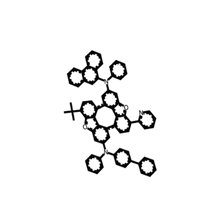 CC(C)(C)c1ccc2c3cc(N(c4ccccc4)c4cc5ccccc5c5ccccc45)cc4oc5c(-c6ccccn6)ccc(c6cc(N(c7ccccc7)c7ccc(-c8ccccc8)cc7)cc7oc1c2c76)c5c43